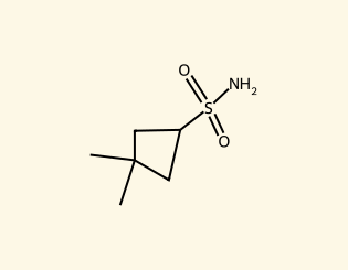 CC1(C)CC(S(N)(=O)=O)C1